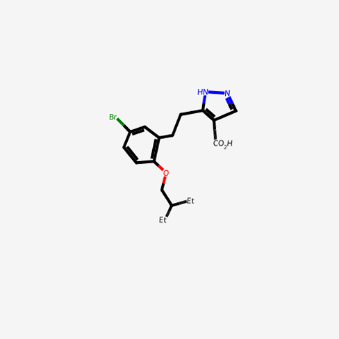 CCC(CC)COc1ccc(Br)cc1CCc1[nH]ncc1C(=O)O